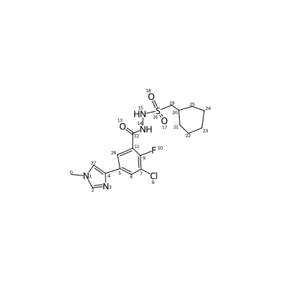 Cn1cnc(-c2cc(Cl)c(F)c(C(=O)NNS(=O)(=O)CC3CCCCC3)c2)c1